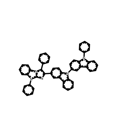 c1ccc(-c2c(-c3ccc4c(c3)c3ccccc3n4-c3ccc4c(c3)c3ccccc3n4-c3ccccc3)nc3n(-c4ccccc4)c4ccccc4n23)cc1